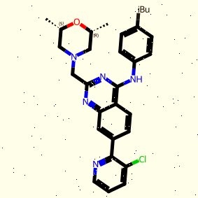 CCC(C)c1ccc(Nc2nc(CN3C[C@@H](C)O[C@@H](C)C3)nc3cc(-c4ncccc4Cl)ccc23)cc1